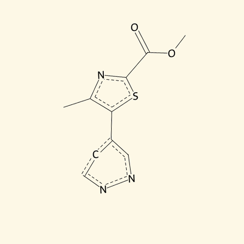 COC(=O)c1nc(C)c(-c2ccnnc2)s1